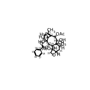 CC(=O)O[C@@H]1C2=C(C)CC[C@@](O)([C@@H](OC(=O)c3ccccc3)[C@@H]3[C@]4(OC(C)=O)CO[C@@H]4C[C@H](O)[C@@]3(C)[C@H]1O)C2(C)C